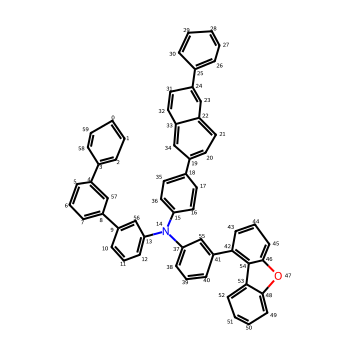 c1ccc(-c2cccc(-c3cccc(N(c4ccc(-c5ccc6cc(-c7ccccc7)ccc6c5)cc4)c4cccc(-c5cccc6oc7ccccc7c56)c4)c3)c2)cc1